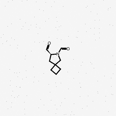 O=C[C@@H]1CC2(CCC2)CN1C=O